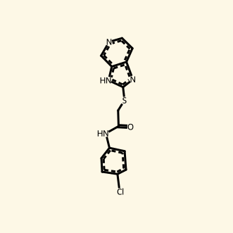 O=C(CSc1nc2ccncc2[nH]1)Nc1ccc(Cl)cc1